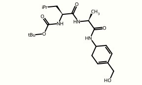 CC(C)C[C@H](NC(=O)OC(C)(C)C)C(=O)N[C@@H](C)C(=O)NC1C=CC(CO)=CC1